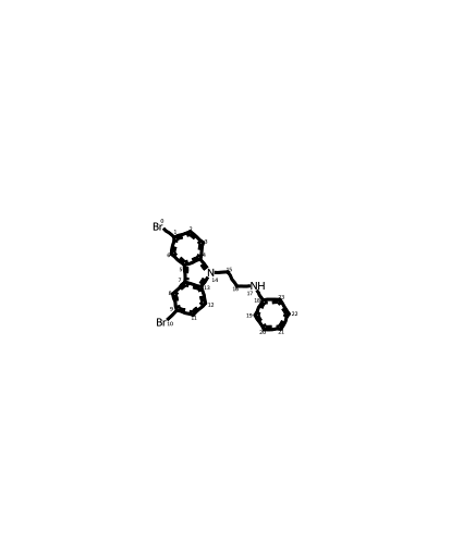 Brc1ccc2c(c1)c1cc(Br)ccc1n2CCNc1ccccc1